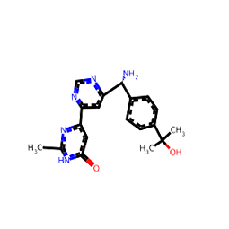 Cc1nc(-c2cc([C@H](N)c3ccc(C(C)(C)O)cc3)ncn2)cc(=O)[nH]1